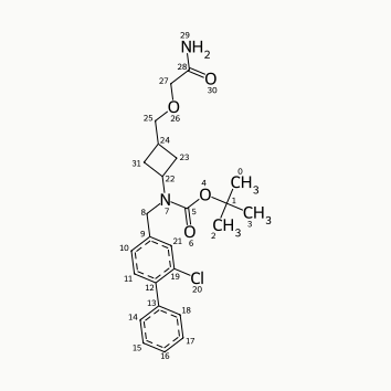 CC(C)(C)OC(=O)N(Cc1ccc(-c2ccccc2)c(Cl)c1)C1CC(COCC(N)=O)C1